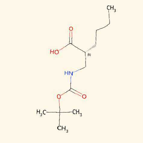 CCCC[C@H](CNC(=O)OC(C)(C)C)C(=O)O